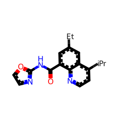 CCc1cc(C(=O)Nc2ncco2)c2nccc(C(C)C)c2c1